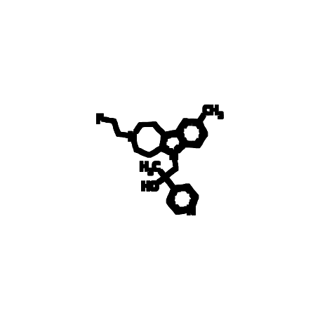 Cc1ccc2c(c1)c1c(n2CC(C)(O)c2ccncc2)CCN(CCF)CC1